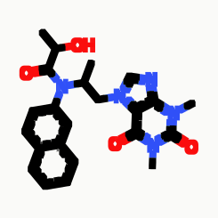 CC(O)C(=O)N(c1ccc2ccccc2c1)C(C)Cn1cnc2c1c(=O)n(C)c(=O)n2C